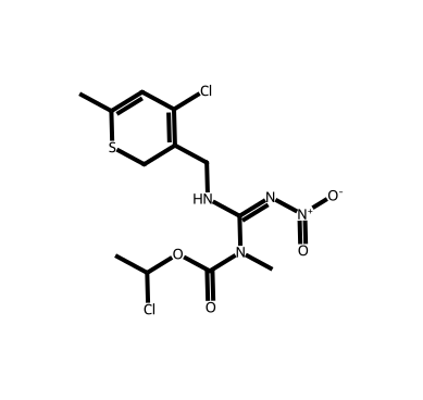 CC1=CC(Cl)=C(CNC(=N[N+](=O)[O-])N(C)C(=O)OC(C)Cl)CS1